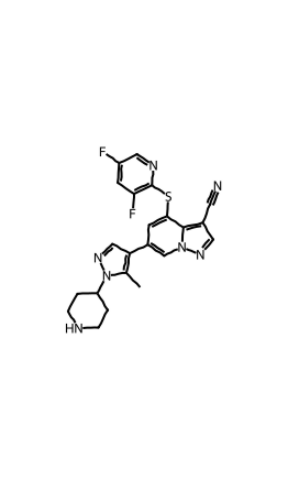 Cc1c(-c2cc(Sc3ncc(F)cc3F)c3c(C#N)cnn3c2)cnn1C1CCNCC1